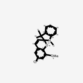 COc1cc(Cl)cc2c1OC1(C=C2)N(C)c2ccccc2C1(C)C